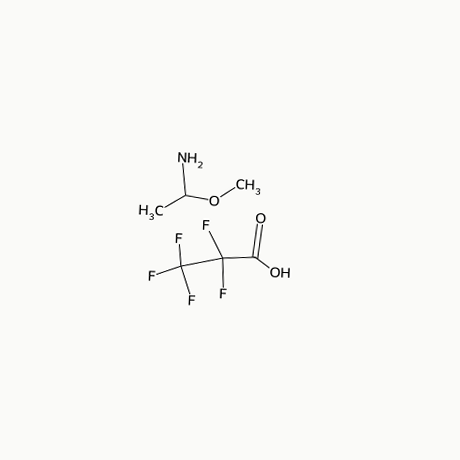 COC(C)N.O=C(O)C(F)(F)C(F)(F)F